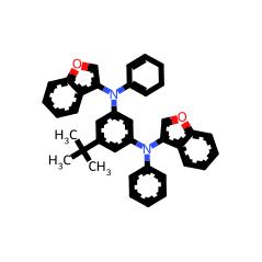 CC(C)(C)c1cc(N(C2=CCCC=C2)c2coc3ccccc23)cc(N(c2ccccc2)c2coc3ccccc23)c1